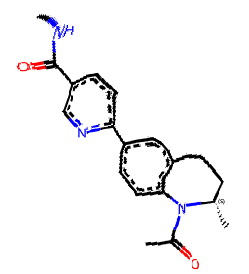 CNC(=O)c1ccc(-c2ccc3c(c2)CC[C@H](C)N3C(C)=O)nc1